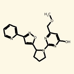 COCc1cc(O)nc(N2CCCC2c2cc(-c3ccccn3)no2)n1